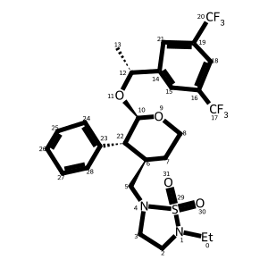 CCN1CCN(C[C@@H]2CCO[C@H](O[C@H](C)c3cc(C(F)(F)F)cc(C(F)(F)F)c3)[C@H]2c2ccccc2)S1(=O)=O